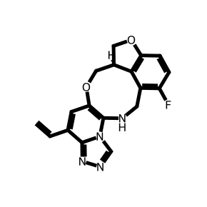 C=Cc1cc2c(n3cnnc13)NCc1c(F)ccc3c1[C@@H](CO3)CO2